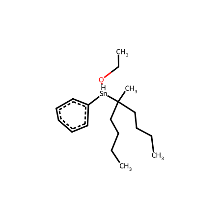 CCCC[C](C)(CCCC)[SnH]([O]CC)[c]1ccccc1